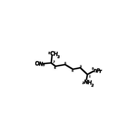 CCCC(N)CCCCC(C)N=O